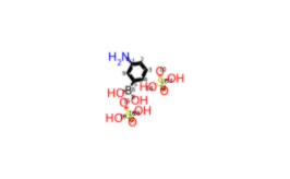 Nc1cccc(B(O)O)c1.O=S(=O)(O)O.O=S(=O)(O)O